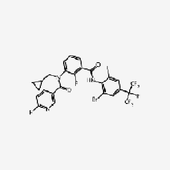 O=C(Nc1c(Br)cc(C(F)(C(F)(F)F)C(F)(F)F)cc1I)c1cccc(N(CC2CC2)C(=O)c2ccc(F)nc2)c1F